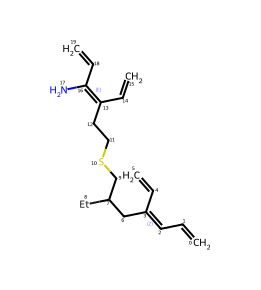 C=C/C=C(\C=C)CC(CC)CSCC/C(C=C)=C(\N)C=C